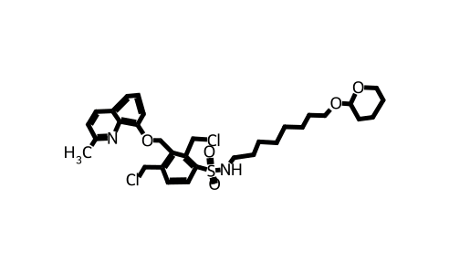 Cc1ccc2cccc(OCc3c(CCl)ccc(S(=O)(=O)NCCCCCCCCOC4CCCCO4)c3CCl)c2n1